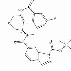 CN(C(=O)c1ccc2cnn(C(=O)OC(C)(C)C)c2c1)[C@H]1COCc2[nH]c(=O)c3cc(F)ccc3c21